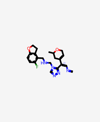 C=N/C=C(/C1=CCOC(C)C1)c1nncn1CNCc1c(F)ccc2c1CCO2